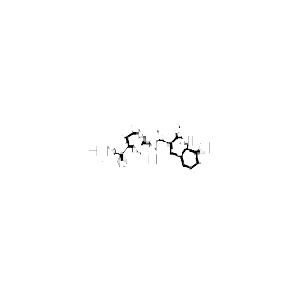 C[C@H](Nc1nccc(C(N)=O)n1)c1cc2cccc(Cl)c2[nH]c1=O